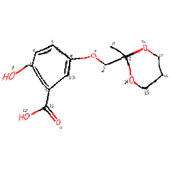 CC1(COc2ccc(O)c(C(=O)O)c2)OCCCO1